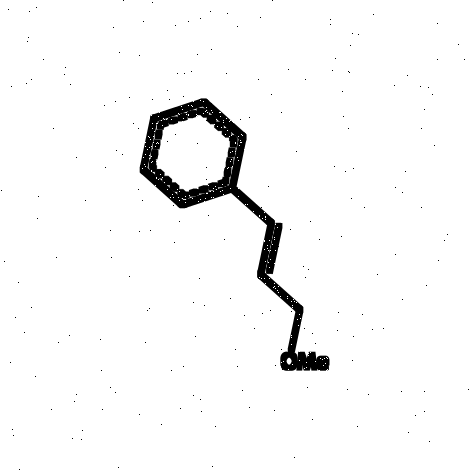 COC/C=C/c1ccccc1